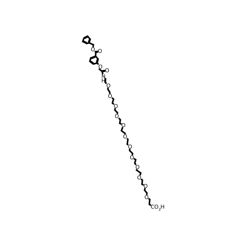 O=C(O)CCOCCOCCOCCOCCOCCOCCOCCOCCOCCOCCOCCOCCNC(=O)COc1cccc(C(=O)OCc2ccccc2)c1